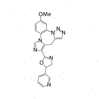 COc1ccc2c(c1)-n1nncc1Cc1c(C3=NCC(c4cccnc4)O3)ncn1-2